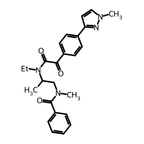 CCN(C(=O)C(=O)c1ccc(-c2ccn(C)n2)cc1)C(C)CN(C)C(=O)c1ccccc1